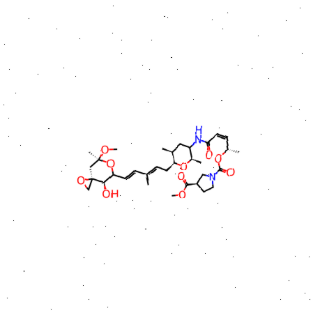 COC(=O)[C@@H]1CCN(C(=O)O[C@@H](C)/C=C\C(=O)NC2C[C@H](C)[C@H](C/C=C(C)/C=C/C3O[C@](C)(OC)C[C@@]4(CO4)[C@@H]3O)O[C@@H]2C)C1